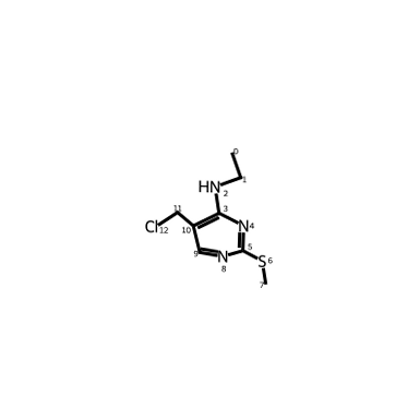 CCNc1nc(SC)ncc1CCl